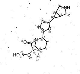 O=C1N2C[C@@H](CC[C@H]2c2nnc(C3C4CNCC43)o2)N1OS(=O)(=O)O